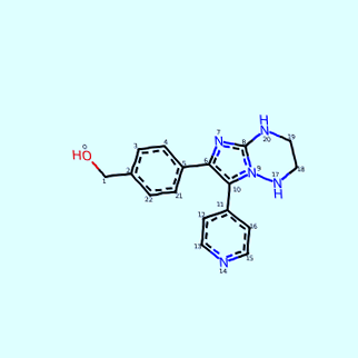 OCc1ccc(-c2nc3n(c2-c2ccncc2)NCCN3)cc1